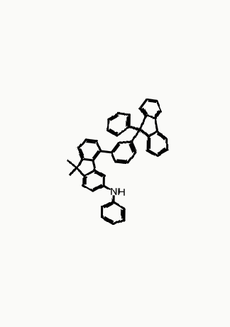 CC1(C)c2ccc(Nc3ccccc3)cc2-c2c(-c3cccc(C4(c5ccccc5)c5ccccc5-c5ccccc54)c3)cccc21